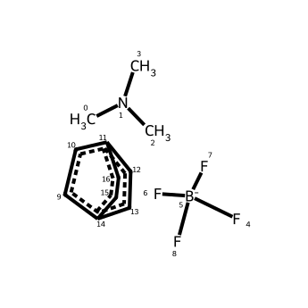 CN(C)C.F[B-](F)(F)F.c1cc2ccc1cc2